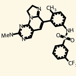 CNc1ncc2c(n1)N1CCN=C1C(c1cc(NS(=O)(=O)c3cccc(C(F)(F)F)c3)ccc1C)=C2